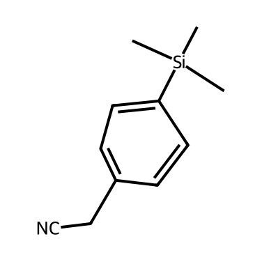 C[Si](C)(C)c1ccc(CC#N)cc1